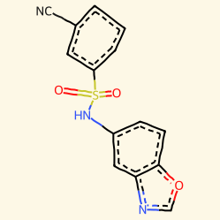 N#Cc1cccc(S(=O)(=O)Nc2ccc3ocnc3c2)c1